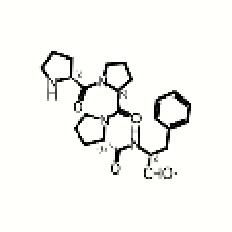 O=[C][C@H](Cc1ccccc1)NC(=O)[C@@H]1CCCN1C(=O)[C@@H]1CCCN1C(=O)[C@@H]1CCCN1